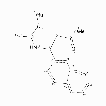 CCCCOC(=O)NC(CC(=O)OC)c1ccc2ccccc2c1